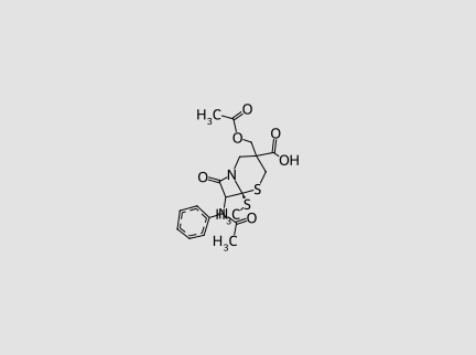 CS[C@]12SCC(COC(C)=O)(C(=O)O)CN1C(=O)C2N(C(C)=O)c1ccccc1